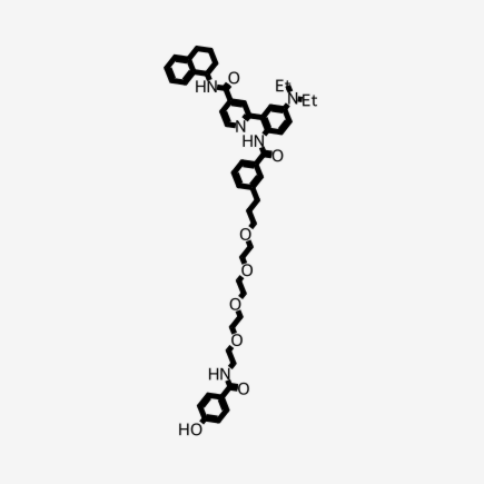 CCN(CC)c1ccc(NC(=O)c2cccc(CCCOCCOCCOCCOCCNC(=O)c3ccc(O)cc3)c2)c(-c2cc(C(=O)NC3CCCc4ccccc43)ccn2)c1